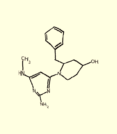 CNc1cc(N2CCC(O)CC2Cc2ccccc2)nc(N)n1